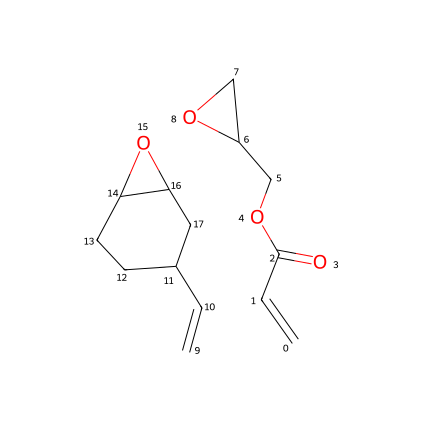 C=CC(=O)OCC1CO1.C=CC1CCC2OC2C1